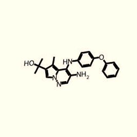 Cc1c(C(C)(C)O)cn2ncc(N)c(Nc3ccc(Oc4ccccc4)cc3)c12